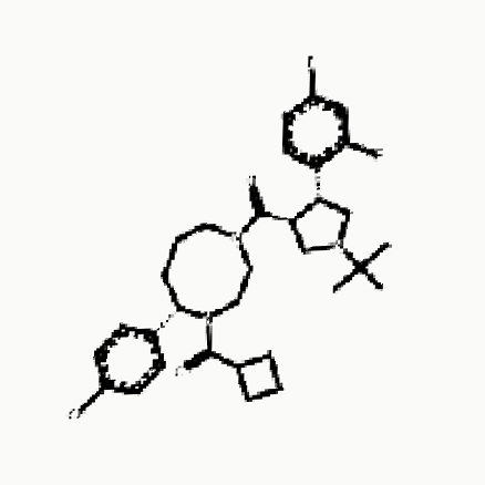 CC(C)(C)N1C[C@@H](C(=O)N2CCC[C@@H](c3ccc(Cl)cc3)N(C(=O)C3CCC3)CC2)[C@H](c2ccc(F)cc2F)C1